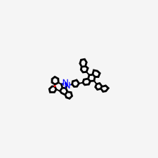 c1ccc(-c2cc3ccccc3c3c2c(-c2ccccc2)nn3-c2ccc(-c3ccc4c(-c5ccc6ccccc6c5)c5ccccc5c(-c5ccc6ccccc6c5)c4c3)cc2)cc1